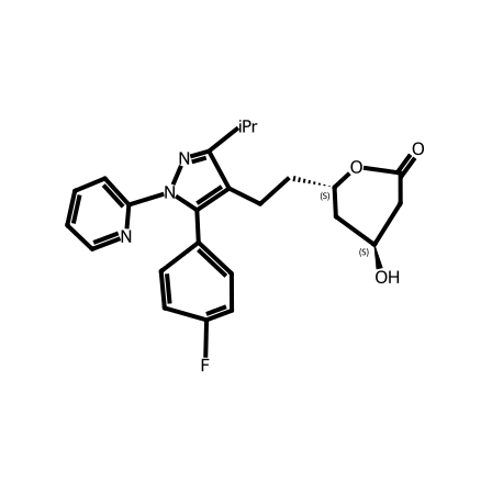 CC(C)c1nn(-c2ccccn2)c(-c2ccc(F)cc2)c1CC[C@H]1C[C@H](O)CC(=O)O1